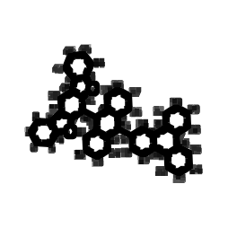 c1ccc2c(c1)oc1c(-c3c4ccccc4c(-c4ccc5c6ccccc6c6ccccc6c5c4)c4ccccc34)c3oc4ccccc4c3cc12